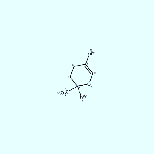 CCCC1=COC(CCC)(C(=O)O)CC1